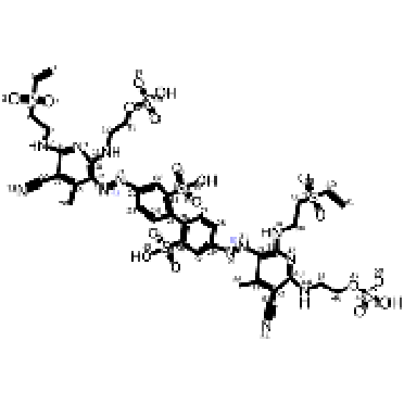 C=CS(=O)(=O)CCNc1nc(NCCOS(=O)(=O)O)c(/N=N/c2ccc(-c3ccc(/N=N/c4c(NCCS(=O)(=O)C=C)nc(NCCOS(=O)(=O)O)c(C#N)c4C)cc3S(=O)(=O)O)c(S(=O)(=O)O)c2)c(C)c1C#N